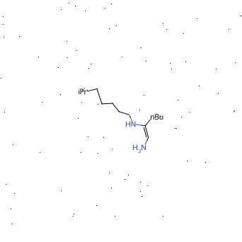 CCCC/C(=C/N)NCCCCCC(C)C